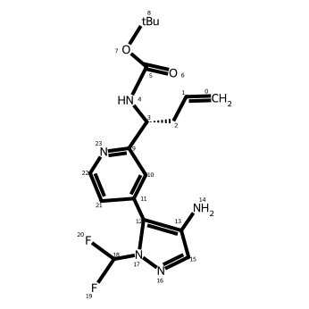 C=CC[C@@H](NC(=O)OC(C)(C)C)c1cc(-c2c(N)cnn2C(F)F)ccn1